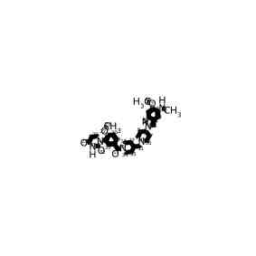 CNc1cc2cn(C3CCN(CC4CCN(C(=O)c5ccc(OC)c(N6CCC(=O)NC6=O)c5)CC4)CC3)nc2cc1OC